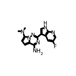 CN(C)c1ccc2c(N)nc(-c3c[nH]c4ncc(F)cc34)nn12